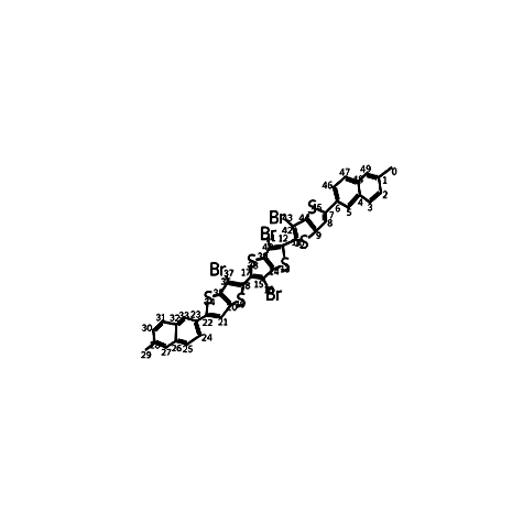 Cc1ccc2cc(-c3cc4sc(-c5sc6c(Br)c(-c7sc8cc(-c9ccc%10cc(C)ccc%10c9)sc8c7Br)sc6c5Br)c(Br)c4s3)ccc2c1